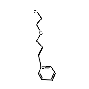 ClCCOCCCc1ccccc1